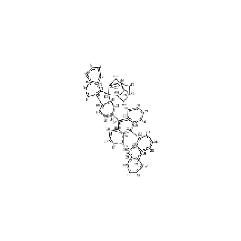 c1ccc2c3c(ccc2c1)-c1ccc(-c2c4ccccc4c(-c4cccc5c4sc4ccccc45)c4ccccc24)cc1C31C2CC3CC(C2)CC1C3